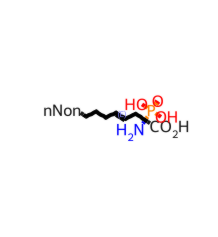 CCCCCCCCCCCC/C=C/CC(N)(C(=O)O)P(=O)(O)O